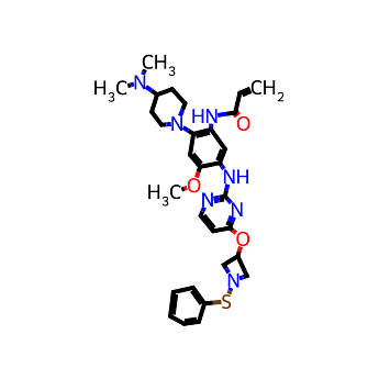 C=CC(=O)Nc1cc(Nc2nccc(OC3CN(Sc4ccccc4)C3)n2)c(OC)cc1N1CCC(N(C)C)CC1